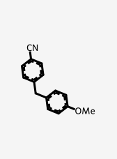 COc1ccc(Cc2ccc(C#N)cc2)cc1